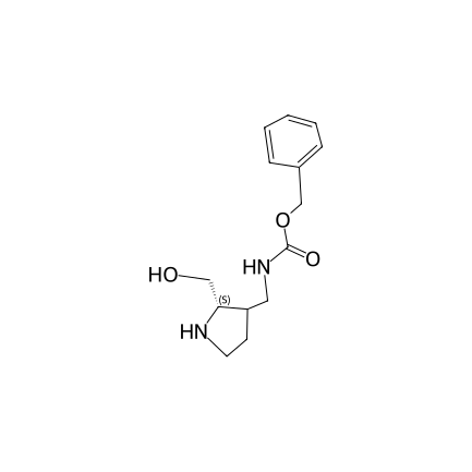 O=C(NCC1CCN[C@@H]1CO)OCc1ccccc1